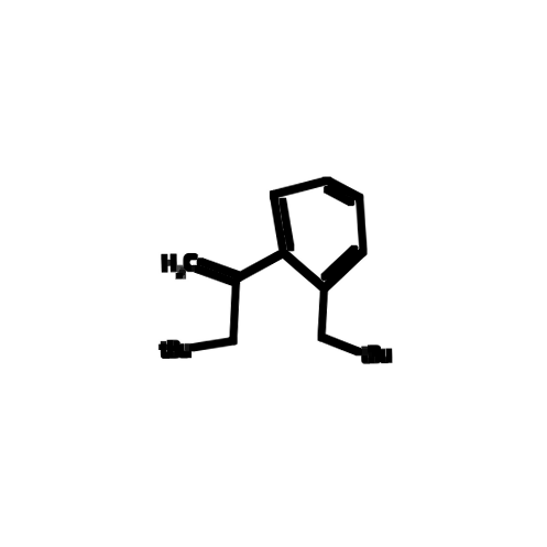 C=C(CC(C)(C)C)c1ccccc1CC(C)(C)C